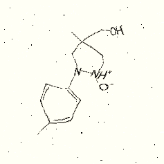 Cc1ccc(N2CC(C)(CO)C[NH+]2[O-])cc1